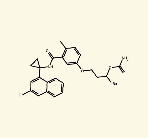 Cc1ccc(OCCC(OC(N)=O)C(C)(C)C)cc1C(=O)NC1(c2cc(Br)cc3ccccc23)CC1